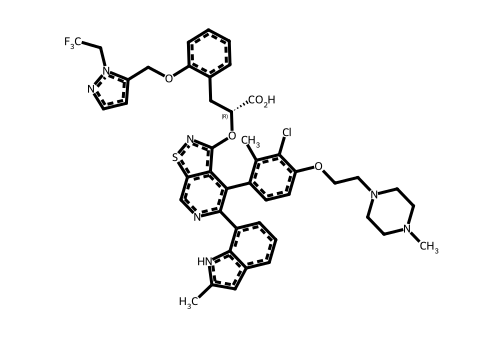 Cc1cc2cccc(-c3ncc4snc(O[C@H](Cc5ccccc5OCc5ccnn5CC(F)(F)F)C(=O)O)c4c3-c3ccc(OCCN4CCN(C)CC4)c(Cl)c3C)c2[nH]1